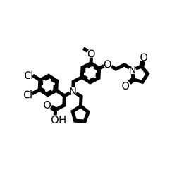 COc1cc(CN(CC2CCCC2)C(CC(=O)O)c2ccc(Cl)c(Cl)c2)ccc1OCCN1C(=O)CCC1=O